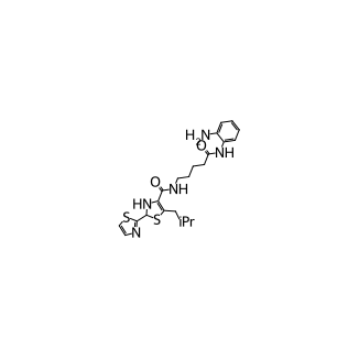 CC(C)CC1=C(C(=O)NCCCCC(=O)Nc2ccccc2N)NC(c2nccs2)S1